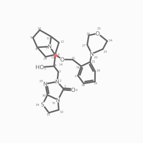 O=c1n(CC(O)CN2C3CCC2CC(OCc2ccccc2N2CCOCC2)C3)nc2n1CCS2